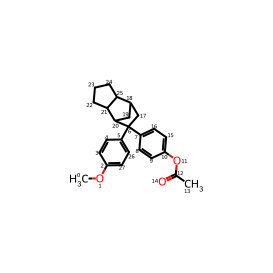 COc1ccc(C2(c3ccc(OC(C)=O)cc3)CC3CC2C2CCCC32)cc1